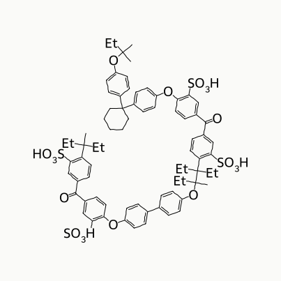 CCC(C)(C)Oc1ccc(C2(c3ccc(Oc4ccc(C(=O)c5ccc(C(CC)(CC)C(C)(CC)Oc6ccc(-c7ccc(Oc8ccc(C(=O)c9ccc(C(C)(CC)CC)c(S(=O)(=O)O)c9)cc8S(=O)(=O)O)cc7)cc6)c(S(=O)(=O)O)c5)cc4S(=O)(=O)O)cc3)CCCCC2)cc1